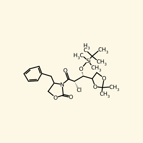 CC1(C)OCC([C@@H](O[Si](C)(C)C(C)(C)C)[C@H](Cl)C(=O)N2C(=O)OCC2Cc2ccccc2)O1